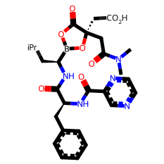 CC(C)C[C@H](NC(=O)[C@H](Cc1ccccc1)NC(=O)c1cnccn1)B1OC(=O)[C@@](CC(=O)O)(CC(=O)N(C)C)O1